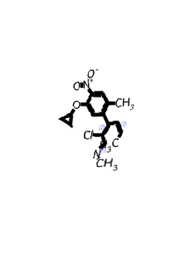 C\C=C/C(=C(Cl)\C=N\C)c1cc(OC2CC2)c([N+](=O)[O-])cc1C